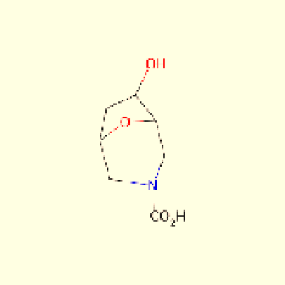 O=C(O)N1CC2CC(O)C(C1)O2